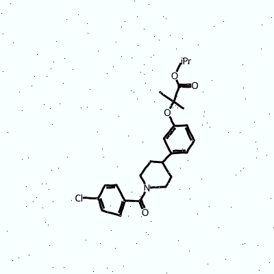 CC(C)OC(=O)C(C)(C)Oc1cccc(C2CCN(C(=O)c3ccc(Cl)cc3)CC2)c1